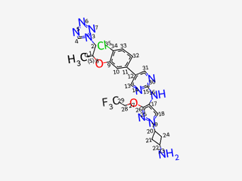 C[C@@H](Cn1cnnn1)Oc1cc(-c2cnc(Nc3cn(C4CC(N)C4)nc3OCC(F)(F)F)nc2)ccc1Cl